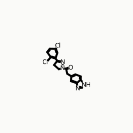 O=C(Cc1ccc2[nH]cnc2c1)N1CCC(c2cc(Cl)ccc2Cl)=N1